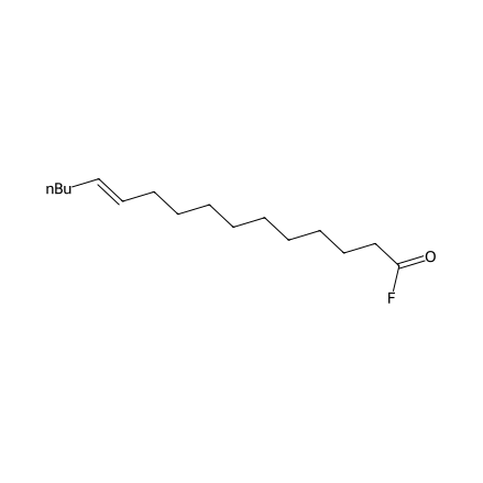 CCCCC=CCCCCCCCCCC(=O)F